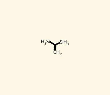 C=C([SiH3])[SiH3]